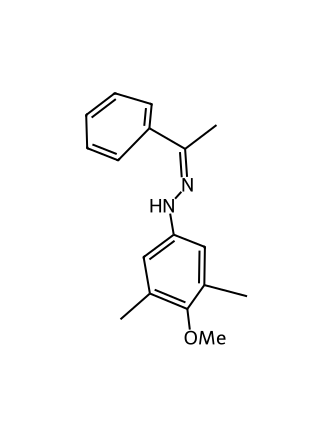 COc1c(C)cc(NN=C(C)c2ccccc2)cc1C